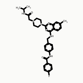 Cc1ccc2c(NCc3ccc(NC(=O)c4ccc(F)cc4)cc3)nc(N3CCN(CC(=O)NC(C)C)CC3)nc2c1